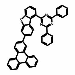 c1ccc(-c2nc(-c3ccccc3)nc(-c3cccc4sc5cc(-c6ccc7c8ccccc8c8ccccc8c7c6)ccc5c34)n2)cc1